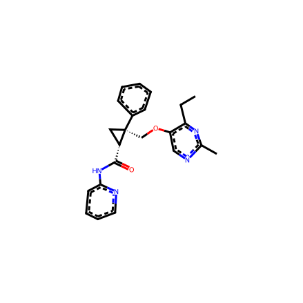 CCc1nc(C)ncc1OC[C@@]1(c2ccccc2)C[C@H]1C(=O)Nc1ccccn1